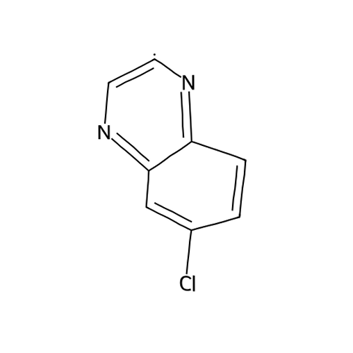 Clc1ccc2n[c]cnc2c1